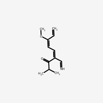 C=C/C(=C\C=C(\C=N)C(=O)C(C)C)OC